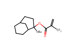 C=C(C(=O)OC1(CCCC)CCC2CCCC1C2)C(F)(F)F